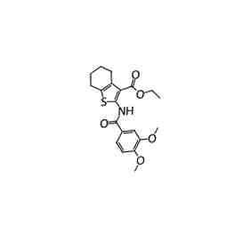 CCOC(=O)c1c(NC(=O)c2ccc(OC)c(OC)c2)sc2c1CCCC2